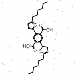 CCCCCCC1=CCC(c2cc(C(=O)O)c(-c3ccc(CCCCCC)s3)cc2C(=O)O)S1